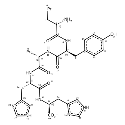 CC(C)C[C@H](N)C(=O)N[C@@H](Cc1ccc(O)cc1)C(=O)N[C@H](C(=O)N[C@@H](Cc1c[nH]cn1)C(=O)N[C@@H](Cc1c[nH]cn1)C(=O)O)C(C)C